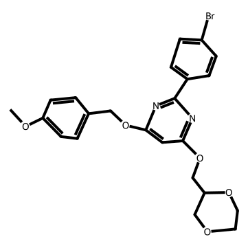 COc1ccc(COc2cc(OCC3COCCO3)nc(-c3ccc(Br)cc3)n2)cc1